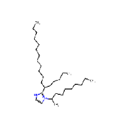 CCCCCCCCCCCCC(CCCCC)c1[nH]cc[n+]1C(C)CCCCCCCC